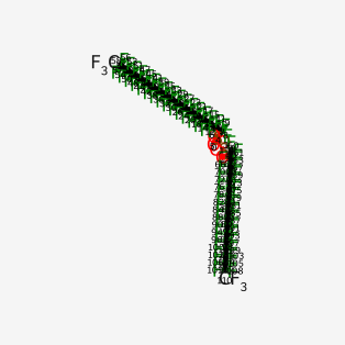 O=S(=O)(OS(=O)(=O)C(F)(F)C(F)(F)C(F)(F)C(F)(F)C(F)(F)C(F)(F)C(F)(F)C(F)(F)C(F)(F)C(F)(F)C(F)(F)C(F)(F)C(F)(F)C(F)(F)C(F)(F)C(F)(F)C(F)(F)C(F)(F)F)C(F)(F)C(F)(F)C(F)(F)C(F)(F)C(F)(F)C(F)(F)C(F)(F)C(F)(F)C(F)(F)C(F)(F)C(F)(F)C(F)(F)C(F)(F)C(F)(F)C(F)(F)C(F)(F)C(F)(F)C(F)(F)F